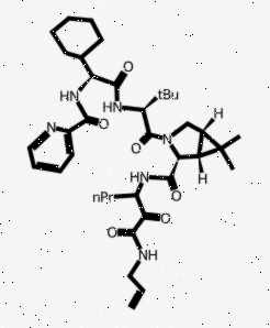 C=CCNC(=O)C(=O)C(CCC)NC(=O)[C@@H]1[C@@H]2[C@H](CN1C(=O)[C@@H](NC(=O)[C@@H](NC(=O)c1ccccn1)C1CCCCC1)C(C)(C)C)C2(C)C